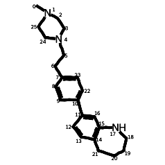 CN1CCN(CCc2ccc(-c3ccc4c(c3)NCCCC4)cc2)CC1